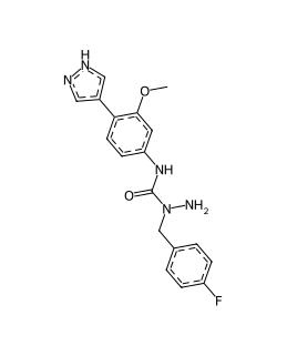 COc1cc(NC(=O)N(N)Cc2ccc(F)cc2)ccc1-c1cn[nH]c1